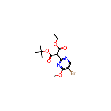 CCOC(=O)C(C(=O)OC(C)(C)C)c1ncc(Br)c(OC)n1